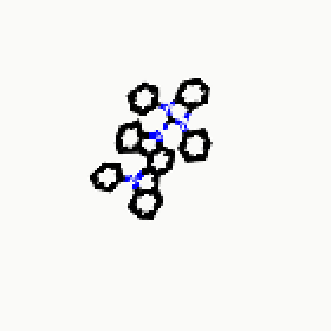 c1ccc(N2c3ccccc3N(c3ccccc3)C2n2c3ccccc3c3c4c(ccc32)c2ccccc2n4-c2ccccc2)cc1